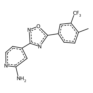 Cc1ccc(-c2nc(-c3ccnc(N)c3)no2)cc1C(F)(F)F